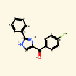 O=C(c1ccc(F)cc1)c1c[nH]c(-c2ccccc2)n1